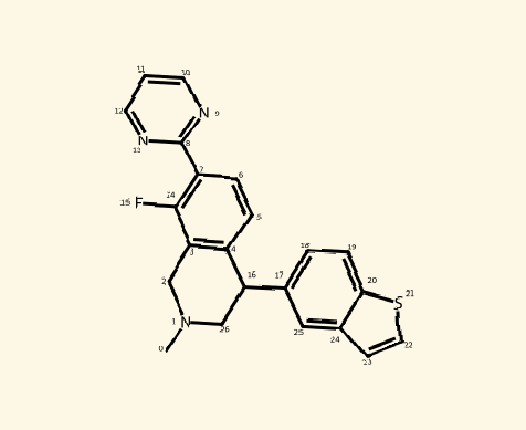 CN1Cc2c(ccc(-c3ncccn3)c2F)C(c2ccc3sccc3c2)C1